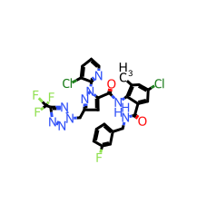 Cc1cc(Cl)cc(C(=O)NCc2cccc(F)c2)c1NC(=O)c1cc(Cn2nnc(C(F)(F)F)n2)nn1-c1ncccc1Cl